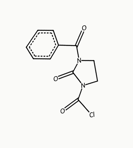 O=C(Cl)N1CCN(C(=O)c2ccccc2)C1=O